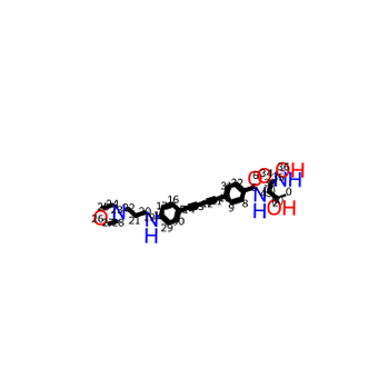 C[C@@H](O)[C@H](NC(=O)c1ccc(C#CC#Cc2ccc(NCCCN3CCOCC3)cc2)cc1)C(=O)NO